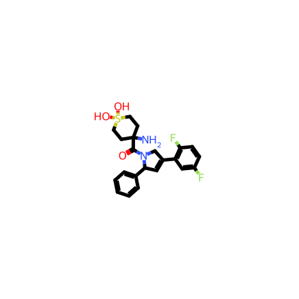 NC1(C(=O)N2CC(c3cc(F)ccc3F)=CC2c2ccccc2)CCS(O)(O)CC1